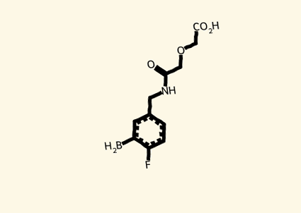 Bc1cc(CNC(=O)COCC(=O)O)ccc1F